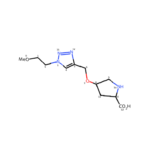 COCCn1cc(COC2CNC(C(=O)O)C2)nn1